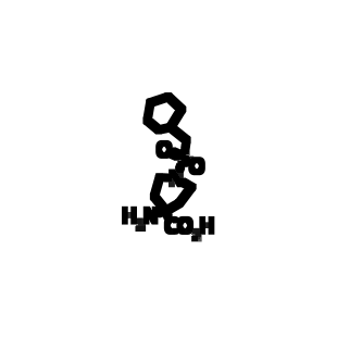 NC1(C(=O)O)CCN(S(=O)(=O)CC2CCCCC2)CC1